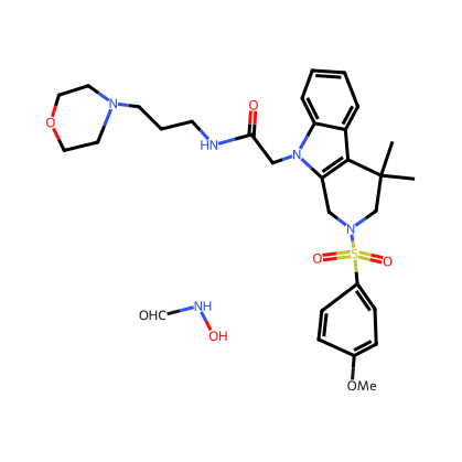 COc1ccc(S(=O)(=O)N2Cc3c(c4ccccc4n3CC(=O)NCCCN3CCOCC3)C(C)(C)C2)cc1.O=CNO